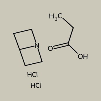 C1CN2CCC12.CCC(=O)O.Cl.Cl